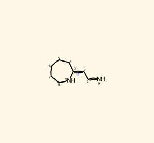 N=C/C=C1/CCCCCN1